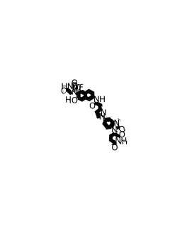 Cn1c(=O)n(C2CCC(=O)NC2=O)c2ccc(-n3ccc(CC(=O)Nc4ccc5c(F)c(N6CC(=O)NS6(=O)=O)c(O)cc5c4)n3)cc21